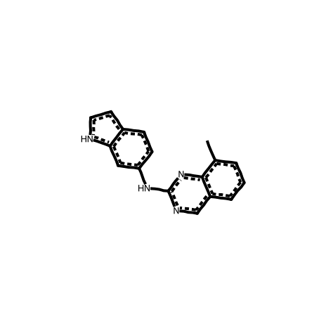 Cc1cccc2cnc(Nc3ccc4cc[nH]c4c3)nc12